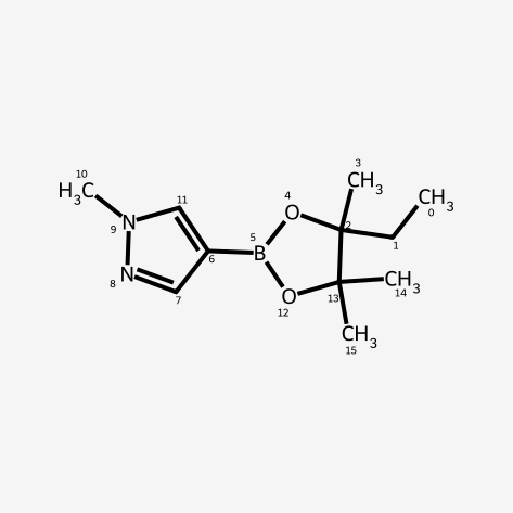 CCC1(C)OB(c2cnn(C)c2)OC1(C)C